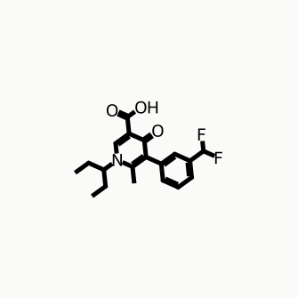 CCC(CC)n1cc(C(=O)O)c(=O)c(-c2cccc(C(F)F)c2)c1C